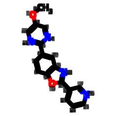 COc1cnc(-c2ccc3oc(-c4cccnc4)nc3c2)nc1